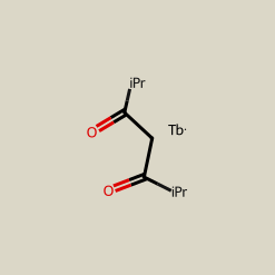 CC(C)C(=O)CC(=O)C(C)C.[Tb]